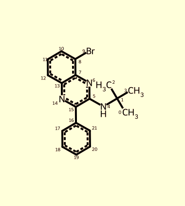 CC(C)(C)Nc1nc2c(Br)cccc2nc1-c1ccccc1